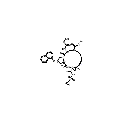 CC(C)(C)NC(=O)N1CCC/C=C\[C@@H]2C[C@@]2(C(=O)NS(=O)(=O)C2CC2)NC(=O)[C@@H]2C[C@@H](Oc3nccc4ccccc34)CN2C(=O)[C@@H](NC(=O)OC(C)(C)C)C1